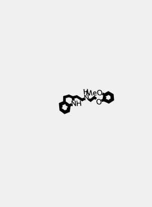 COc1ccccc1OCCNCCC1CCc2ccccc2N1